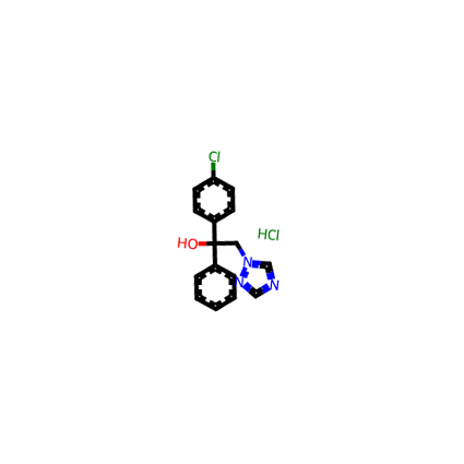 Cl.OC(Cn1cncn1)(c1ccccc1)c1ccc(Cl)cc1